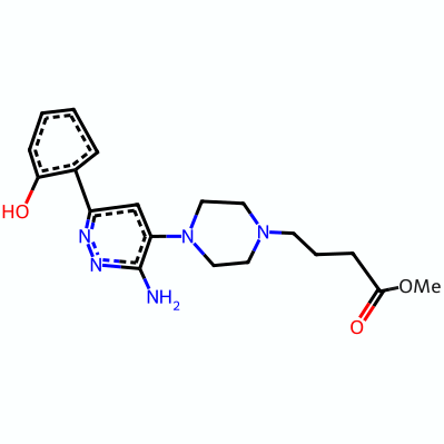 COC(=O)CCCN1CCN(c2cc(-c3ccccc3O)nnc2N)CC1